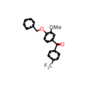 COc1cc(C(=O)c2ccc(C(F)(F)F)cc2)ccc1OCc1ccccc1